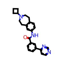 O=C(Nc1ccc2c(c1)CCN(C1CCC1)CC2)c1cccc(-c2ccncn2)c1